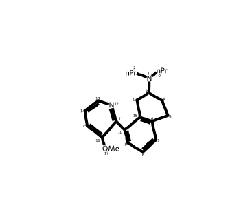 CCCN(CCC)C1CCc2cccc(-c3ncccc3OC)c2C1